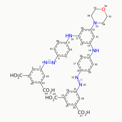 O=C(O)c1cc(/N=N/c2ccc(Nc3cc(Nc4ccc(/N=N/c5cc(C(=O)O)cc(C(=O)O)c5)cc4)cc(N4CCOCC4)c3)cc2)cc(C(=O)O)c1